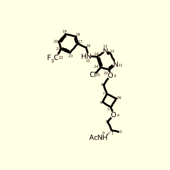 CC(=O)N[C@@H](C)COC1CC(COc2ncnc(NCc3cccc(C(F)(F)F)c3)c2Cl)C1